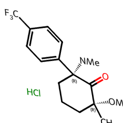 CN[C@@]1(c2ccc(C(F)(F)F)cc2)CCC[C@@](C)(OC)C1=O.Cl